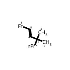 [CH2]CCC(C)(C)C=CCC